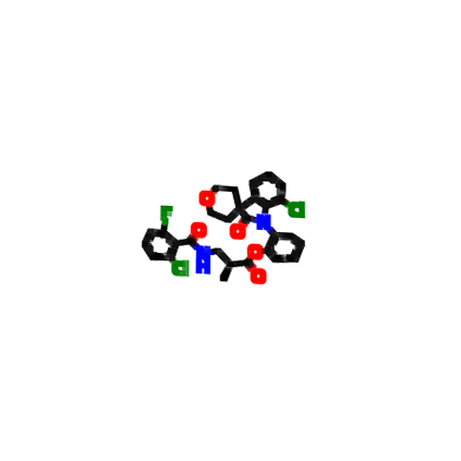 C[C@@H](CNC(=O)c1c(F)cccc1Cl)C(=O)Oc1ccccc1N1C(=O)C2(CCOCC2)c2cccc(Cl)c21